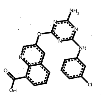 Nc1nc(Nc2cccc(Cl)c2)nc(Oc2cnc3c(C(=O)O)cccc3c2)n1